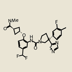 CNC(=O)[C@H]1C[C@H](Oc2ccc(C(F)F)cc2NC(=O)N2CC[C@@](c3ccc(C)c(F)c3)(c3ncns3)C2)C1